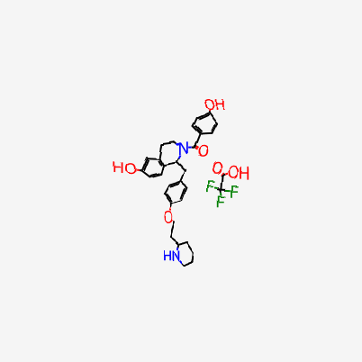 O=C(O)C(F)(F)F.O=C(c1ccc(O)cc1)N1CCc2cc(O)ccc2C1Cc1ccc(OCCC2CCCCN2)cc1